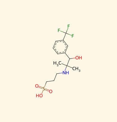 CC(C)(NCCCS(=O)(=O)O)C(O)c1cccc(C(F)(F)F)c1